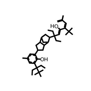 C=C(C)/C=C(\C(O)=C\C(CC)(CC)C1CC2CC1C1CC(c3cc(C)cc(C(CC)(CC)C(C)(C)C)c3O)CC21)C(C)(C)C